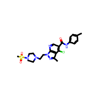 Cc1ccc(NC(=O)c2cnc3c(c(C)nn3CCN3CCN(S(C)(=O)=O)CC3)c2Cl)cc1